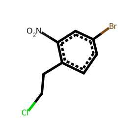 O=[N+]([O-])c1cc(Br)ccc1CCCl